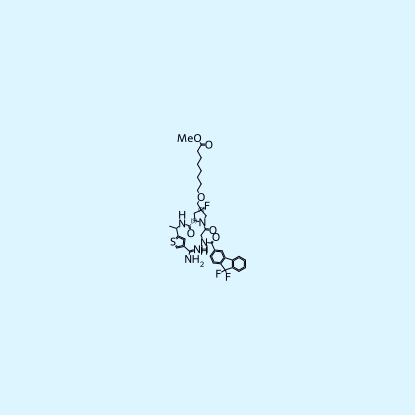 COC(=O)CCCCCCCOC[C@@]1(F)C[C@@H](C(=O)NC(C)c2cc(C(=N)N)cs2)N(C(=O)CNC(=O)c2ccc3c(c2)-c2ccccc2C3(F)F)C1